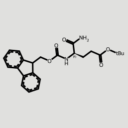 CC(C)(C)OC(=O)CC[C@@H](NC(=O)OCC1c2ccccc2-c2ccccc21)C(N)=O